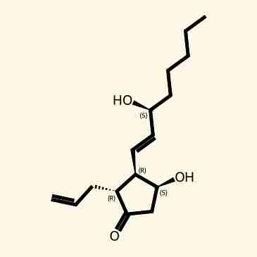 C=CC[C@H]1C(=O)C[C@H](O)[C@@H]1C=C[C@@H](O)CCCCC